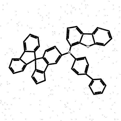 C1=CC2=C(C1)c1cc(N(c3ccc(-c4ccccc4)cc3)c3cccc4c3oc3ccccc34)ccc1C21c2ccccc2-c2ccccc21